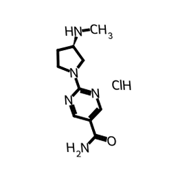 CN[C@@H]1CCN(c2ncc(C(N)=O)cn2)C1.Cl